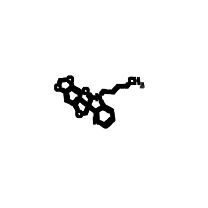 CCCCCN1C(=O)C2(COc3cc4c(cc32)OCO4)c2ncccc21